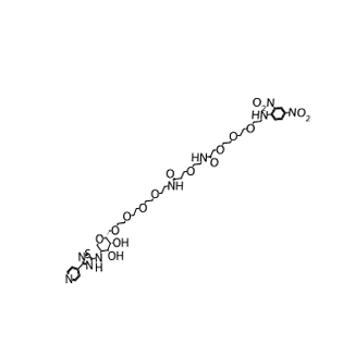 O=C(CCOCCNC(=O)COCCOCCOCCNc1ccc([N+](=O)[O-])cc1[N+](=O)[O-])NCCOCCOCCOCCOC[C@H]1OC[C@H](Nc2nc(-c3ccncc3)ns2)[C@@H](O)[C@H]1O